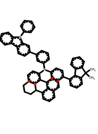 CC1(C)c2ccccc2-c2c(-c3ccc(N(c4cccc(-c5ccc6c7ccccc7n(-c7ccccc7)c6c5)c4)c4ccccc4-c4cccc5cccc(C6CCCCC6)c45)cc3)cccc21